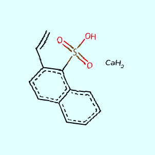 C=Cc1ccc2ccccc2c1S(=O)(=O)O.[CaH2]